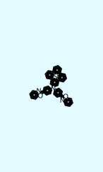 c1ccc([Si](c2ccccc2)(c2ccccc2)c2ccc(N(c3ccc(-c4nc5ccccc5o4)cc3)c3ccc(-c4nc5ccccc5o4)cc3)cc2)cc1